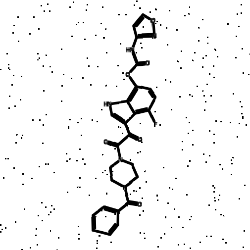 O=C(Nc1ccon1)Oc1ccc(F)c2c(C(=O)C(=O)N3CCN(C(=O)c4ccccc4)CC3)c[nH]c12